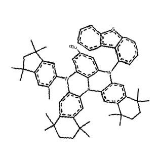 Cc1cc2c(cc1N1c3cc4c(cc3B3c5cc6c(cc5N(c5cccc7sc8ccccc8c57)c5cc(C(C)(C)C)cc1c53)C(C)(C)CCC6(C)C)C(C)(C)CCC4(C)C)C(C)(C)CC2(C)C